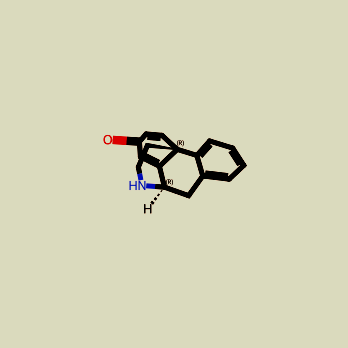 O=C1C=C[C@]23CCN[C@H](Cc4ccccc42)C3=C1